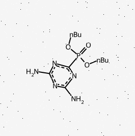 CCCCOP(=O)(OCCCC)c1nc(N)nc(N)n1